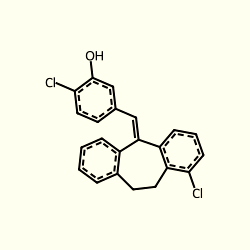 Oc1cc(/C=C2\c3ccccc3CCc3c(Cl)cccc32)ccc1Cl